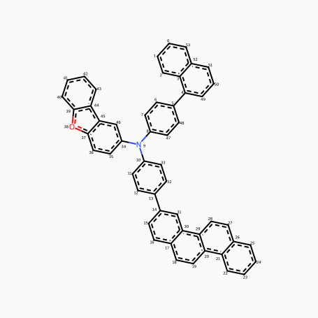 c1ccc2c(-c3ccc(N(c4ccc(-c5ccc6ccc7c8ccccc8ccc7c6c5)cc4)c4ccc5oc6ccccc6c5c4)cc3)cccc2c1